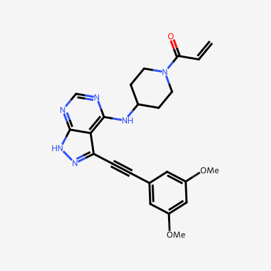 C=CC(=O)N1CCC(Nc2ncnc3[nH]nc(C#Cc4cc(OC)cc(OC)c4)c23)CC1